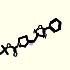 CC(C)(C)OC(=O)N1CC/C(=C\c2noc(-c3ccccc3)n2)C1